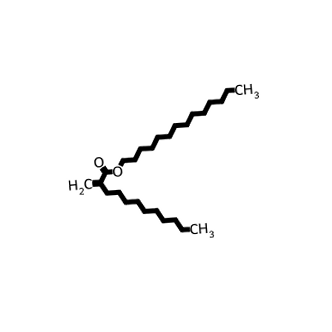 C=C(CCCCCCCCCC)C(=O)OCCCCCCCCCCCCCC